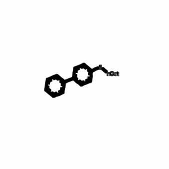 [CH2]CCCCCCCSc1ccc(-c2ccccc2)cc1